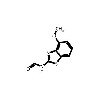 COc1cccc2sc(NC=O)nc12